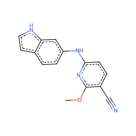 COc1nc(Nc2ccc3cc[nH]c3c2)ccc1C#N